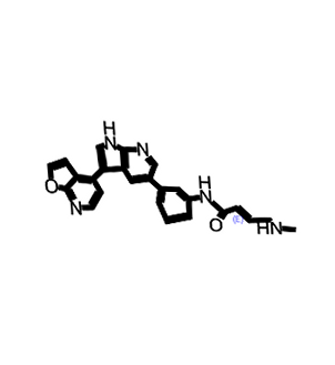 CNC/C=C/C(=O)Nc1cccc(-c2cnc3[nH]cc(-c4ccnc5occc45)c3c2)c1